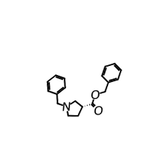 O=C(OCc1ccccc1)[C@@H]1CCN(Cc2ccccc2)C1